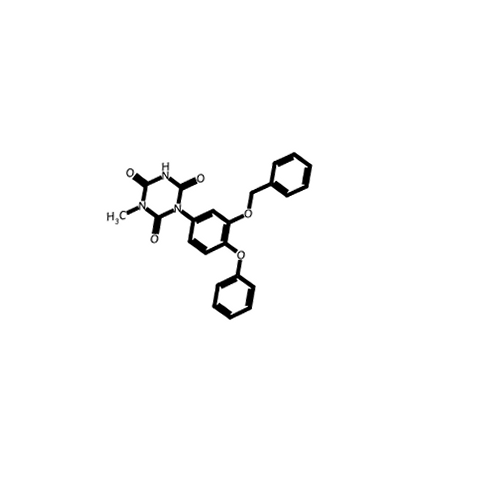 Cn1c(=O)[nH]c(=O)n(-c2ccc(Oc3ccccc3)c(OCc3ccccc3)c2)c1=O